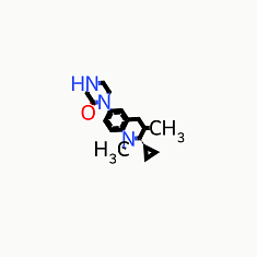 CC1Cc2cc(N3CCNCC3=O)ccc2N(C)[C@H]1C1CC1